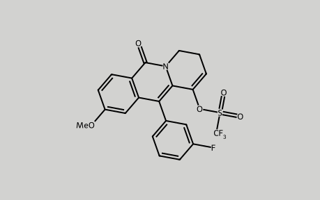 COc1ccc2c(=O)n3c(c(-c4cccc(F)c4)c2c1)C(OS(=O)(=O)C(F)(F)F)=CCC3